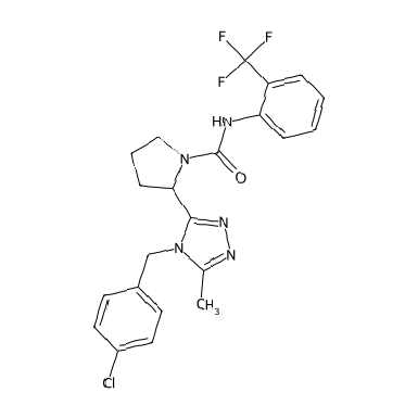 Cc1nnc(C2CCCN2C(=O)Nc2ccccc2C(F)(F)F)n1Cc1ccc(Cl)cc1